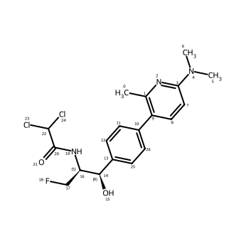 Cc1nc(N(C)C)ccc1-c1ccc([C@@H](O)[C@@H](CF)NC(=O)C(Cl)Cl)cc1